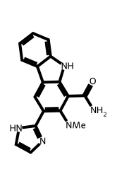 CNc1c(-c2ncc[nH]2)cc2c([nH]c3ccccc32)c1C(N)=O